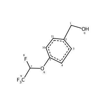 OCc1ccc(OC(F)C(F)(F)F)cc1